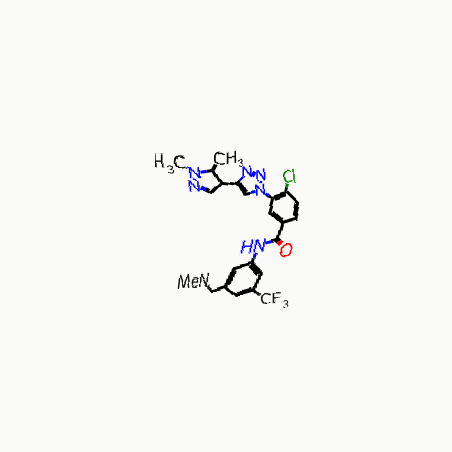 CNCc1cc(NC(=O)c2ccc(Cl)c(-n3cc(C4C=NN(C)C4C)nn3)c2)cc(C(F)(F)F)c1